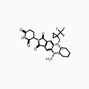 CN(c1ccc2c(c1)C(=O)N(C1CCC(=O)NC1=O)C2=O)[C@@H]1CCCC[C@@H]1NCC1(C(F)(F)F)CC1